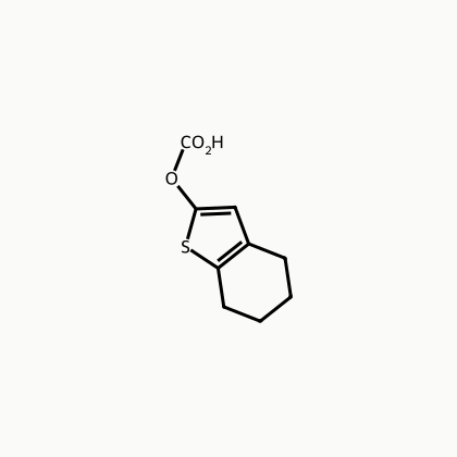 O=C(O)Oc1cc2c(s1)CCCC2